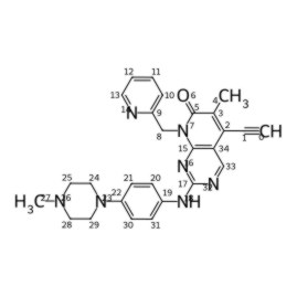 C#Cc1c(C)c(=O)n(Cc2ccccn2)c2nc(Nc3ccc(N4CCN(C)CC4)cc3)ncc12